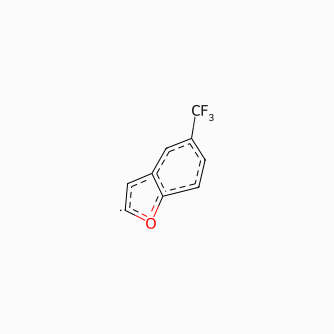 FC(F)(F)c1ccc2o[c]cc2c1